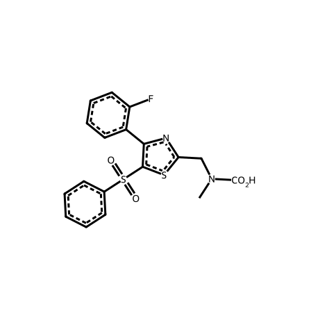 CN(Cc1nc(-c2ccccc2F)c(S(=O)(=O)c2ccccc2)s1)C(=O)O